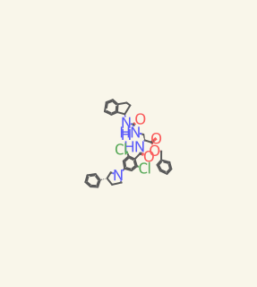 O=C(NC[C@H](NC(=O)c1c(Cl)cc(N2CC[C@H](c3ccccc3)C2)cc1Cl)C(=O)OCc1ccccc1)N[C@@H]1CCc2ccccc21